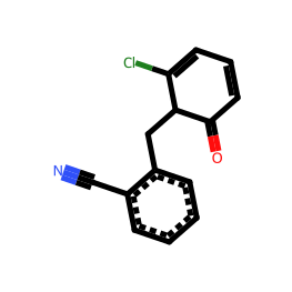 N#Cc1ccccc1CC1C(=O)C=CC=C1Cl